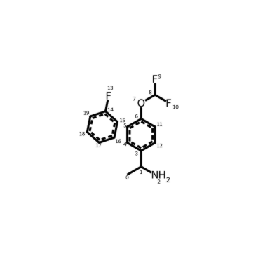 CC(N)c1ccc(OC(F)F)cc1.Fc1ccccc1